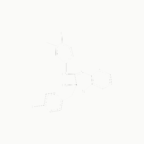 NC1(Cc2ccc(F)cc2)Nc2ccccc2N=C1Nc1cc(F)c(F)c(F)c1